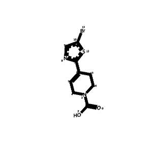 O=C(O)N1CC=C(c2ncc(Br)s2)CC1